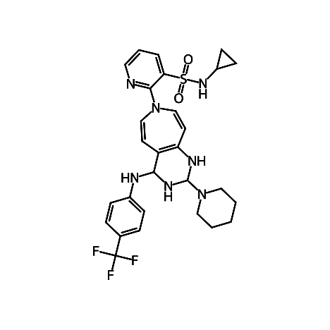 O=S(=O)(NC1CC1)c1cccnc1N1C=CC2=C(C=C1)C(Nc1ccc(C(F)(F)F)cc1)NC(N1CCCCC1)N2